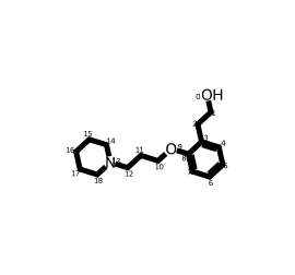 OCCc1ccccc1OCCCN1CCCCC1